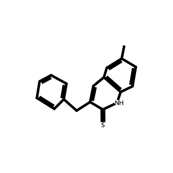 Cc1ccc2[nH]c(=S)c(Cc3ccccc3)cc2c1